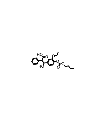 CCCCOC(=O)Oc1ccc(C(O)C(C(=O)O)c2ccccc2)cc1OCC